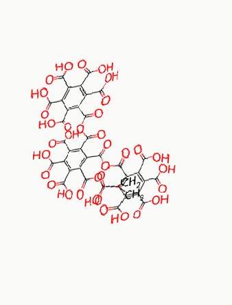 C=C(C)C(=O)OC(=O)c1c(C(=O)O)c(C(=O)O)c(C(=O)O)c(C(=O)OC(=O)c2c(C(=O)O)c(C(=O)O)c(C(=O)O)c(C(=O)O)c2C(=O)O)c1C(=O)OC(=O)c1c(C(=O)O)c(C(=O)O)c(C(=O)O)c(C(=O)O)c1C(=O)O